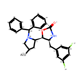 CC(=O)OC1CC([C@H]2OC(=O)N[C@H]2Cc2cc(F)cc(F)c2)N(C(c2ccccc2)c2ccccc2)C1